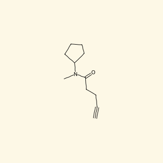 C#CCCC(=O)N(C)C1CCCC1